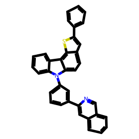 c1ccc(-c2cc3ccc4c(c5ccccc5n4-c4cccc(-c5cc6ccccc6cn5)c4)c3s2)cc1